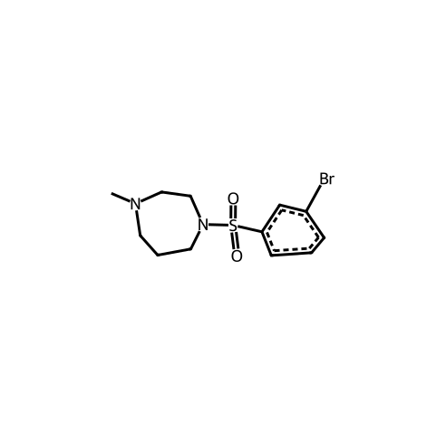 CN1CCCN(S(=O)(=O)c2cccc(Br)c2)CC1